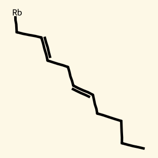 CCCCC=CCC=C[CH2][Rb]